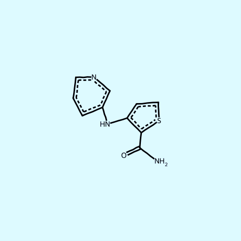 NC(=O)c1sccc1Nc1cccnc1